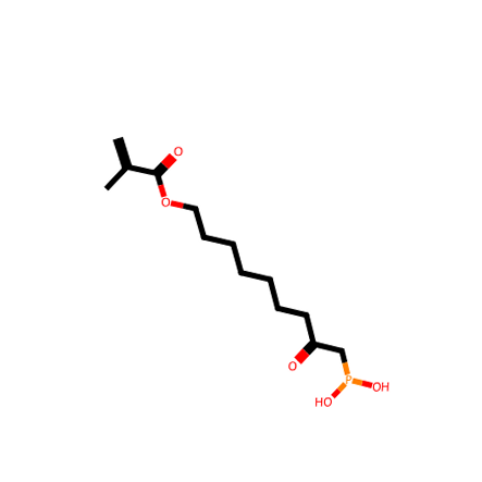 C=C(C)C(=O)OCCCCCCCC(=O)CP(O)O